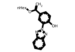 C=C(OCCCCCC)c1ccc(O)c(-n2nc3ccccc3n2)c1